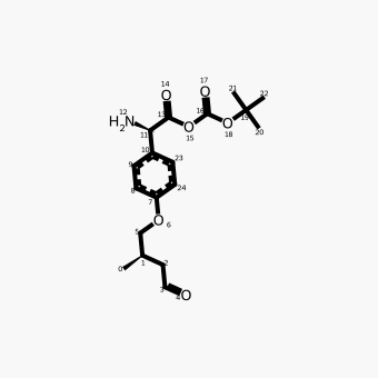 C[C@H](CC=O)COc1ccc([C@@H](N)C(=O)OC(=O)OC(C)(C)C)cc1